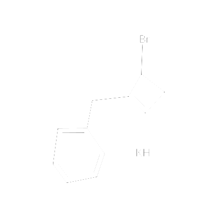 BrC1CC=C1Cc1ccccc1.[KH]